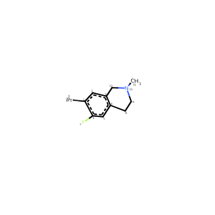 CC(C)c1cc2c(cc1F)CCN(C)C2